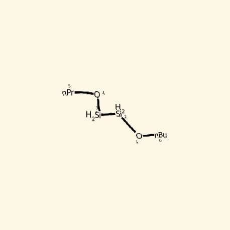 CCCCO[SiH2][SiH2]OCCC